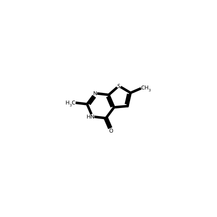 Cc1nc2sc(C)cc2c(=O)[nH]1